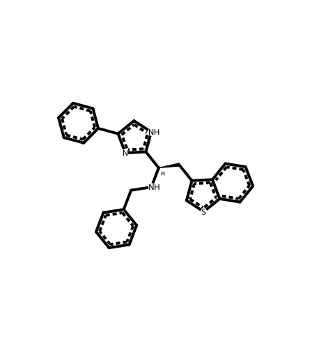 c1ccc(CN[C@H](Cc2csc3ccccc23)c2nc(-c3ccccc3)c[nH]2)cc1